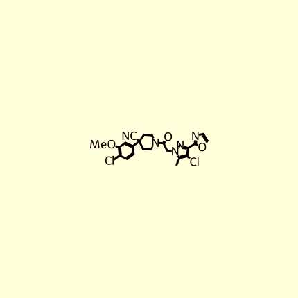 COc1cc(C2(C#N)CCN(C(=O)Cn3nc(-c4ncco4)c(Cl)c3C)CC2)ccc1Cl